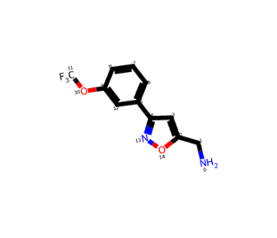 NCc1cc(-c2cccc(OC(F)(F)F)c2)no1